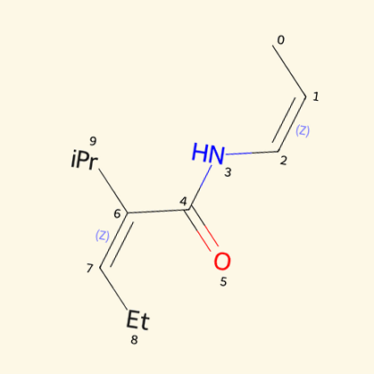 C/C=C\NC(=O)/C(=C\CC)C(C)C